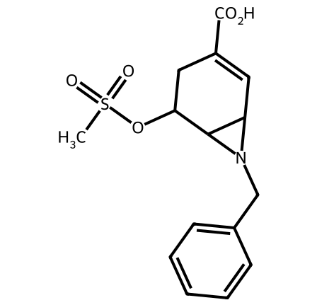 CS(=O)(=O)OC1CC(C(=O)O)=CC2C1N2Cc1ccccc1